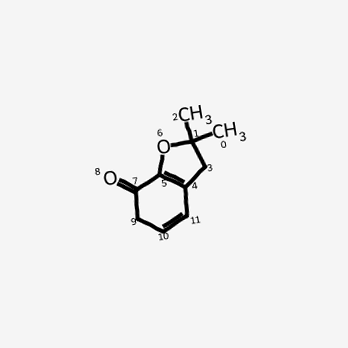 CC1(C)CC2=C(O1)C(=O)CC=C2